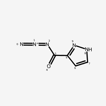 [N-]=[N+]=NC(=O)c1cc[nH]n1